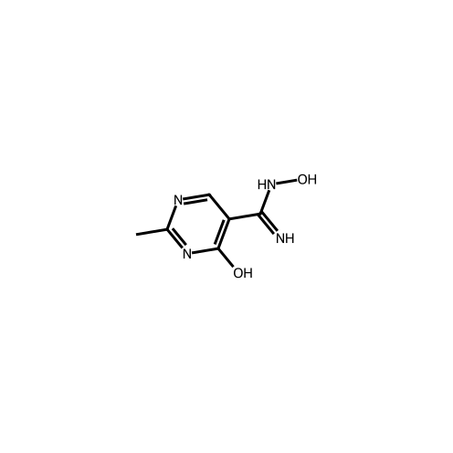 Cc1ncc(C(=N)NO)c(O)n1